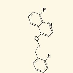 Fc1ccccc1CCOc1ccnc2c(F)cccc12